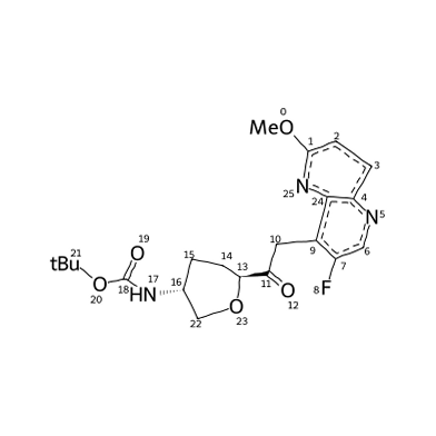 COc1ccc2ncc(F)c(CC(=O)[C@@H]3CC[C@@H](NC(=O)OC(C)(C)C)CO3)c2n1